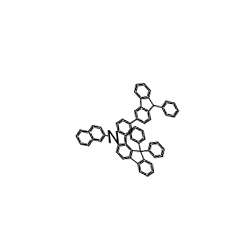 c1ccc(C2c3ccccc3-c3cc(-c4ccc5c(c4)c4c6c(ccc4n5-c4ccc5ccccc5c4)-c4ccccc4C6(c4ccccc4)c4ccccc4)ccc32)cc1